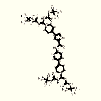 CC(C)(C)OC(=O)N=C(NC(=O)OC(C)(C)C)N1CC=C(c2ccc(NC(=O)c3cc(C4=CCN(C(=NC(=O)OC(C)(C)C)NC(=O)OC(C)(C)C)CC4)co3)nc2)CC1